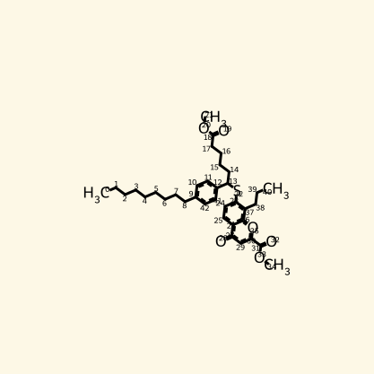 CCCCCCCCCc1ccc(C(CCCCC(=O)OC)Sc2ccc3c(=O)cc(C(=O)OC)oc3c2CCC)cc1